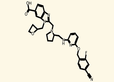 N#Cc1ccc(COc2cccc(NCC3CCCN3Cc3nc4ccc(C(=O)O)cc4n3CC3CCO3)n2)c(F)c1